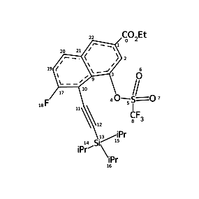 CCOC(=O)c1cc(OS(=O)(=O)C(F)(F)F)c2c(C#C[Si](C(C)C)(C(C)C)C(C)C)c(F)ccc2c1